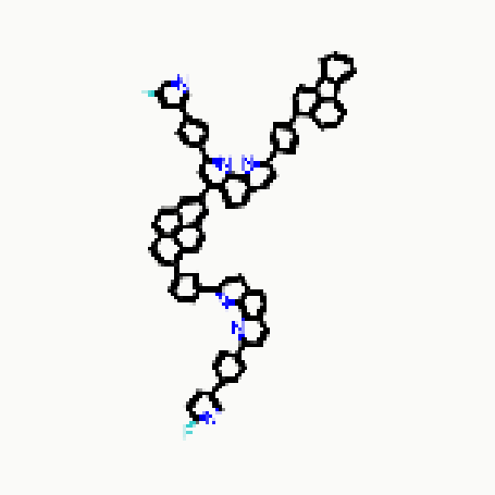 Fc1cncc(-c2ccc(-c3cc(-c4cc5ccc6ccc(-c7cccc(-c8ccc9ccc%10ccc(-c%11ccc(-c%12ccc(F)nc%12)cc%11)nc%10c9n8)c7)c7ccc(c4)c5c67)c4ccc5ccc(-c6ccc(-c7ccc8c9c(cccc79)-c7ccccc7-8)cc6)nc5c4n3)cc2)c1